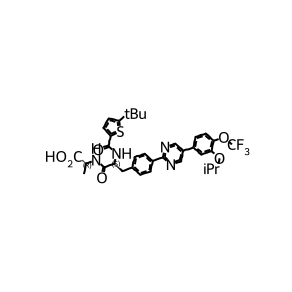 CC(C)Oc1cc(-c2cnc(-c3ccc(C[C@H](NC(=O)c4ccc(C(C)(C)C)s4)C(=O)N[C@H](C)C(=O)O)cc3)nc2)ccc1OC(F)(F)F